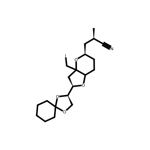 C[C@@H](C#N)C[C@H]1CCC2O[C@@H]([C@H]3COC4(CCCCC4)O3)CC2(CI)O1